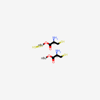 CCCCOC(=O)[C@@H](N)CS.CCCCOC(=O)[C@@H](N)CS.SS